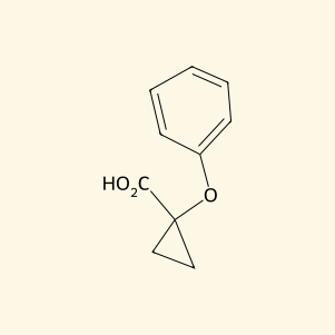 O=C(O)C1(Oc2ccccc2)CC1